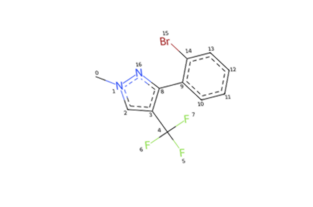 Cn1cc(C(F)(F)F)c(-c2ccccc2Br)n1